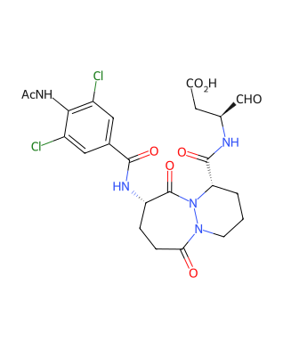 CC(=O)Nc1c(Cl)cc(C(=O)N[C@H]2CCC(=O)N3CCC[C@@H](C(=O)N[C@H](C=O)CC(=O)O)N3C2=O)cc1Cl